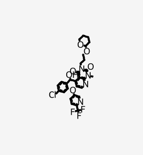 Cn1c(=O)n(CCCOC2CCCCO2)c(=O)c2c(C(O)c3ccc(Cl)cc3)c(Oc3ccc(C(F)(F)F)nc3)cnc21